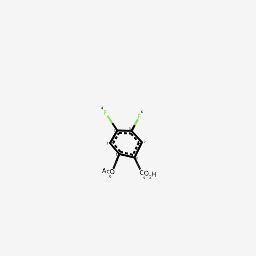 CC(=O)Oc1cc(F)c(F)cc1C(=O)O